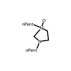 CCCCCN1CC[N+]([O-])(CCCCC)C1